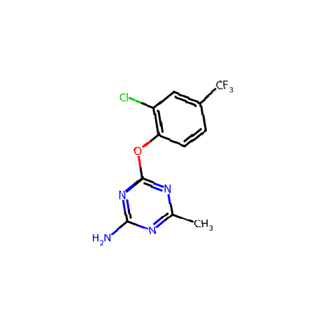 Cc1nc(N)nc(Oc2ccc(C(F)(F)F)cc2Cl)n1